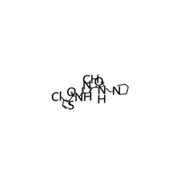 Cn1cc(NC(=O)c2sccc2Cl)cc1C(=O)NCCN1CCCCC1